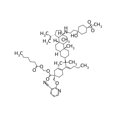 C=C(C)[C@@H]1CC[C@]2(NCC[C@]3(O)CC[C@@H](S(C)(=O)=O)CC3)CC[C@]3(C)[C@H](CC[C@@H]4C[C@H](C(C)(C)/C(=C\CCC)C5=CC[C@@](COc6ncccc6C#N)(C(=O)OCOC(=O)CCCCC)CC5)CC[C@]43C)[C@@H]12